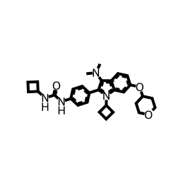 CN(C)c1c(-c2ccc(NC(=O)NC3CCC3)cc2)n(C2CCC2)c2cc(OC3CCOCC3)ccc12